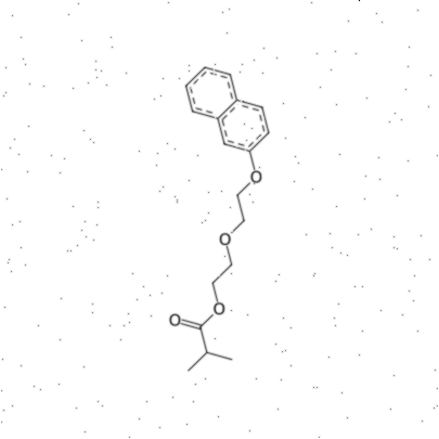 CC(C)C(=O)OCCOCCOc1ccc2ccccc2c1